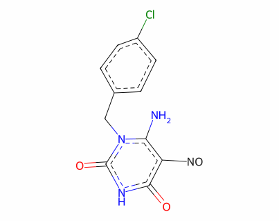 Nc1c(N=O)c(=O)[nH]c(=O)n1Cc1ccc(Cl)cc1